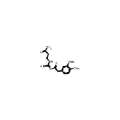 COc1ccc(CC(=O)N=C(N)NCCC(N)=O)cc1OC